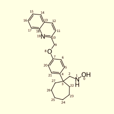 ONCC1(c2ccc(OCc3ccc4ccccc4n3)cc2)CCCCCC1